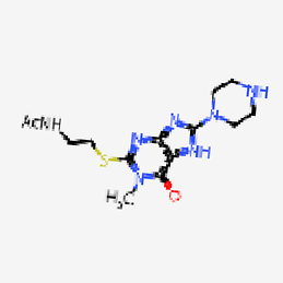 CC(=O)NCCSc1nc2nc(N3CCNCC3)[nH]c2c(=O)n1C